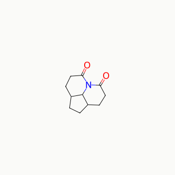 O=C1CCC2CCC3CCC(=O)N1C23